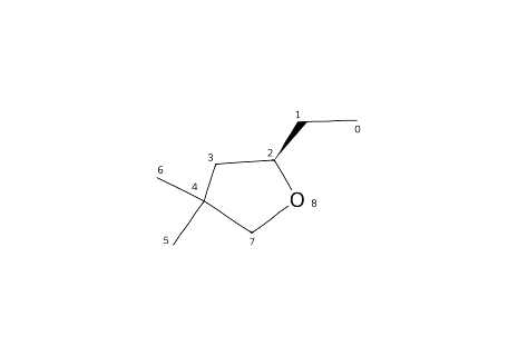 CC[C@@H]1CC(C)(C)CO1